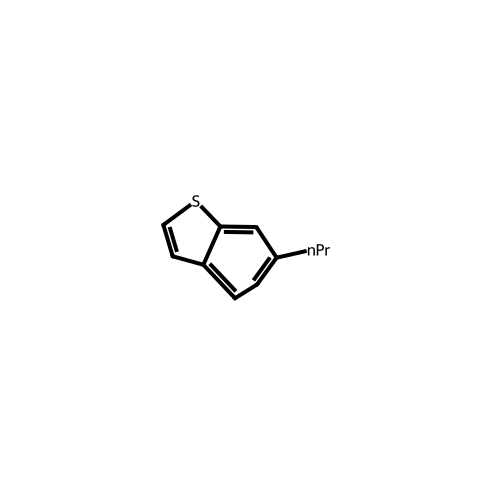 CCCc1ccc2ccsc2c1